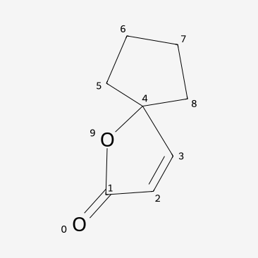 O=C1C=CC2(CCCC2)O1